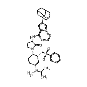 CC(C)N(C)[C@@H]1CC[C@H](N2CC[C@H](Nc3ncnn4cc(C56CC7CC(CC(C7)C5)C6)cc34)C2=O)[C@H](CS(=O)(=O)c2ccccc2)C1